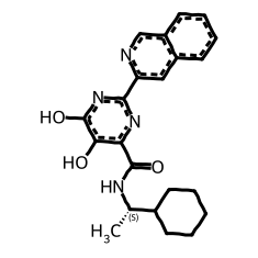 C[C@H](NC(=O)c1nc(-c2cc3ccccc3cn2)nc(O)c1O)C1CCCCC1